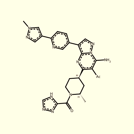 CC(=O)c1c([C@@H]2CCN(C(=O)c3nnc[nH]3)[C@@H](C)C2)nc2c(-c3ccc(-c4cnn(C)c4)nc3)cnn2c1N